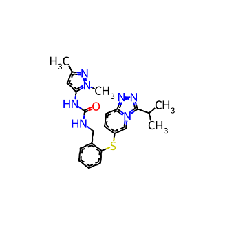 Cc1cc(NC(=O)NCc2ccccc2Sc2ccc3nnc(C(C)C)n3c2)n(C)n1